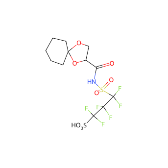 O=C(NS(=O)(=O)C(F)(F)C(F)(F)C(F)(F)S(=O)(=O)O)C1COC2(CCCCC2)O1